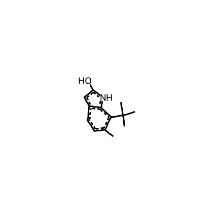 Cc1ccc2cc(O)[nH]c2c1C(C)(C)C